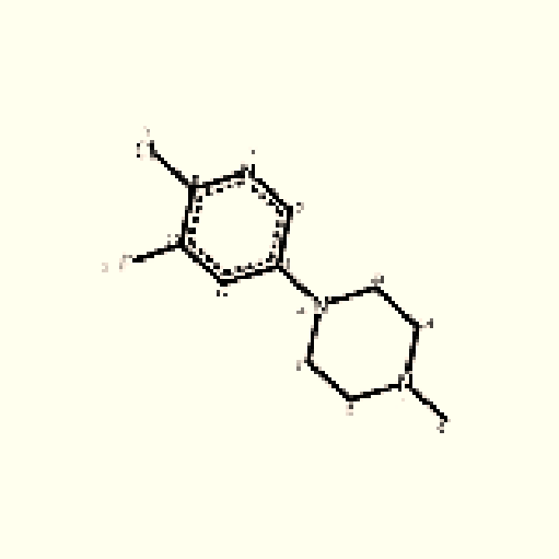 CN1CCN(c2cnc(Cl)c(F)c2)CC1